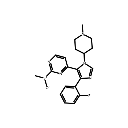 CN1CCC(n2cnc(-c3ccccc3F)c2-c2ccnc([S+](C)[O-])n2)CC1